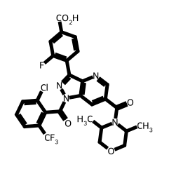 CC1COCC(C)N1C(=O)c1cnc2c(-c3ccc(C(=O)O)cc3F)nn(C(=O)c3c(Cl)cccc3C(F)(F)F)c2c1